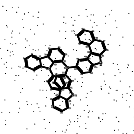 c1ccc(-n2c3ccccc3c3cccc(N(c4ccc5c(c4)sc4ccccc45)c4ccc5oc6ccc7ccccc7c6c5c4)c32)cc1